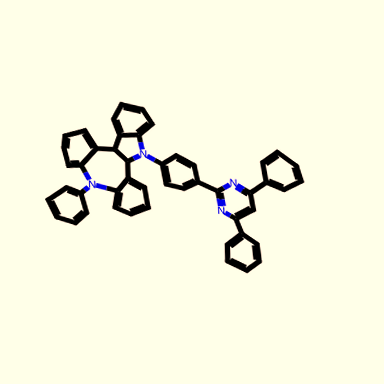 c1ccc(-c2cc(-c3ccccc3)nc(-c3ccc(N4c5ccccc5C5c6ccccc6N(c6ccccc6)c6ccccc6C54)cc3)n2)cc1